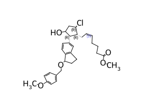 COC(=O)CCC/C=C\C[C@H]1[C@H](Cl)CC(O)[C@H]1c1ccc2c(c1)CCC2OCc1ccc(OC)cc1